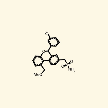 COCc1cccc2c1-c1ccc(CS(N)(=O)=O)cc1C(c1cccc(Cl)c1)O2